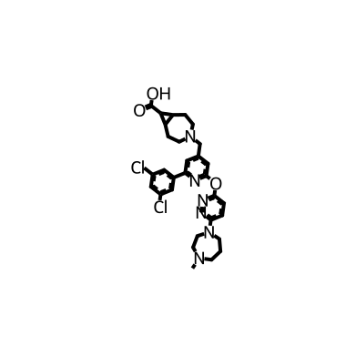 CN1CCCN(c2ccc(Oc3cc(CN4CCC5C(CC4)C5C(=O)O)cc(-c4cc(Cl)cc(Cl)c4)n3)nn2)CC1